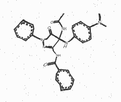 CC(=O)NC1(Nc2ccc(N(C)C)cc2)C(=O)N(c2ccccc2)N=C1NC(=O)c1ccccc1